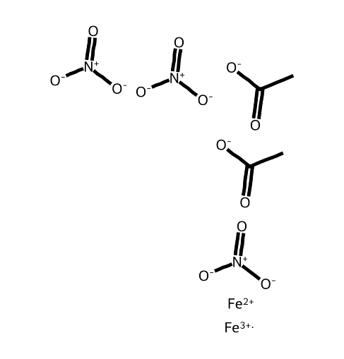 CC(=O)[O-].CC(=O)[O-].O=[N+]([O-])[O-].O=[N+]([O-])[O-].O=[N+]([O-])[O-].[Fe+2].[Fe+3]